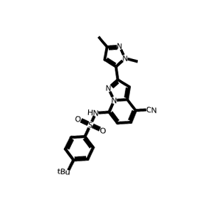 Cc1cc(-c2cc3c(C#N)ccc(NS(=O)(=O)c4ccc(C(C)(C)C)cc4)n3n2)n(C)n1